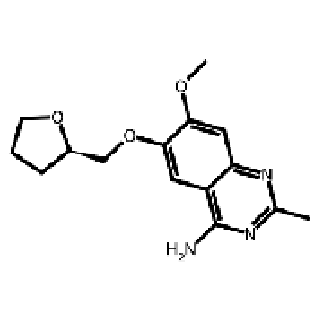 COc1cc2nc(C)nc(N)c2cc1OC[C@H]1CCCO1